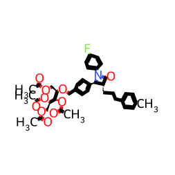 CC(=O)OC[C@@H](OCc1ccc([C@@H]2[C@@H](CCCc3ccc(C)cc3)C(=O)N2c2ccc(F)cc2)cc1)[C@@H](OC(C)=O)[C@@H](COC(C)=O)OC(C)=O